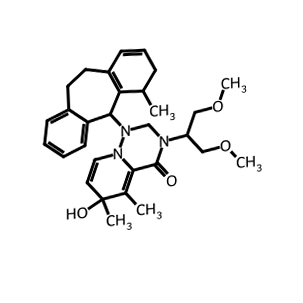 COCC(COC)N1CN(C2C3=C(C=CCC3C)CCc3ccccc32)N2C=CC(C)(O)C(C)=C2C1=O